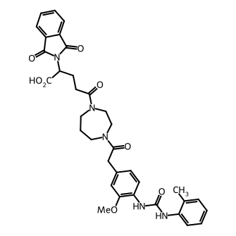 COc1cc(CC(=O)N2CCCN(C(=O)CCC(C(=O)O)N3C(=O)c4ccccc4C3=O)CC2)ccc1NC(=O)Nc1ccccc1C